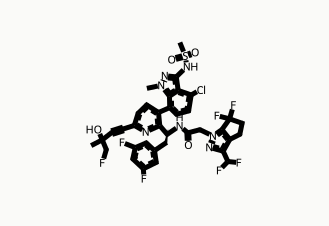 Cn1nc(NS(C)(=O)=O)c2c(Cl)ccc(-c3ccc(C#CC(C)(O)CF)nc3[C@H](Cc3cc(F)cc(F)c3)NC(=O)Cn3nc(C(F)F)c4c3C(F)(F)CC4)c21